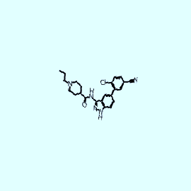 CCCN1CCC(C(=O)Nc2n[nH]c3ccc(-c4cc(C#N)ccc4Cl)cc23)CC1